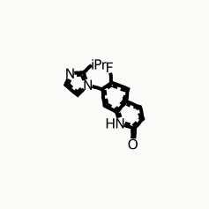 CC(C)c1nccn1-c1cc2[nH]c(=O)ccc2cc1F